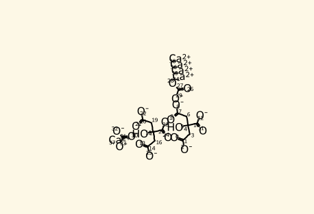 O=C([O-])CC(O)(CC(=O)[O-])C(=O)[O-].O=C([O-])CC(O)(CC(=O)[O-])C(=O)[O-].O=C([O-])[O-].O=C([O-])[O-].[Ca+2].[Ca+2].[Ca+2].[Ca+2].[Ca+2]